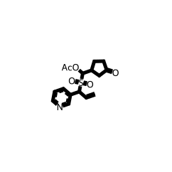 C=CC(c1cccnc1)S(=O)(=O)C(OC(C)=O)C1CCC(=O)C1